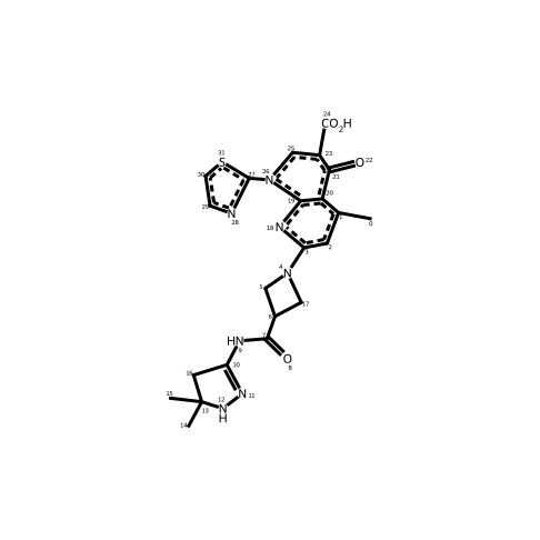 Cc1cc(N2CC(C(=O)NC3=NNC(C)(C)C3)C2)nc2c1c(=O)c(C(=O)O)cn2-c1nccs1